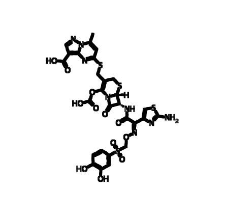 Cc1cc(SCC2=C(OC(=O)O)N3C(=O)[C@@H](NC(=O)/C(=N\OCS(=O)(=O)c4ccc(O)c(O)c4)c4csc(N)n4)[C@H]3SC2)nc2c(C(=O)O)cnn12